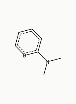 CN(C)c1bcccc1